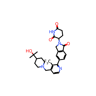 CC(C)(O)C1CCN(Cc2ccnc(-c3ccc4c(c3)CN(C3CCC(=O)NC3=O)C4=O)c2C(F)(F)F)CC1